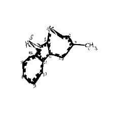 Cc1cnc2[nH]c3ccccc3c2c1